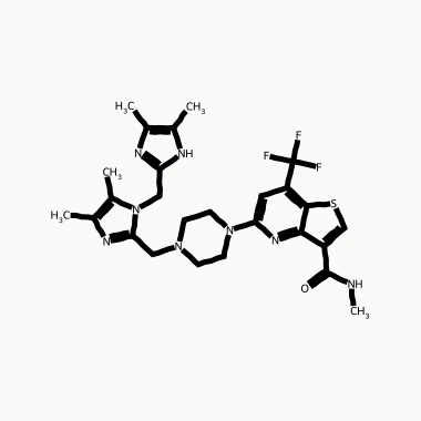 CNC(=O)c1csc2c(C(F)(F)F)cc(N3CCN(Cc4nc(C)c(C)n4Cc4nc(C)c(C)[nH]4)CC3)nc12